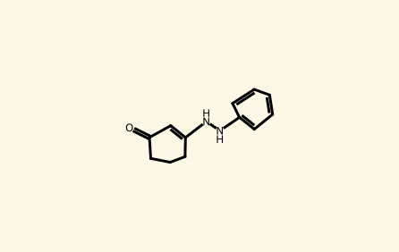 O=C1C=C(NNc2ccccc2)CCC1